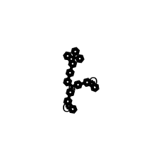 c1ccc(C2(c3ccccc3)c3ccccc3-c3cc(-c4ccc(-c5cccc(N(c6ccc(-c7ccc8oc9ccccc9c8c7)cc6)c6ccc(-c7ccc8oc9ccccc9c8c7)cc6)c5)cc4)ccc32)cc1